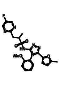 COc1ccccc1-n1c(NS(=O)(=O)C(C)Cc2ncc(F)cn2)nnc1-c1ccc(C)o1